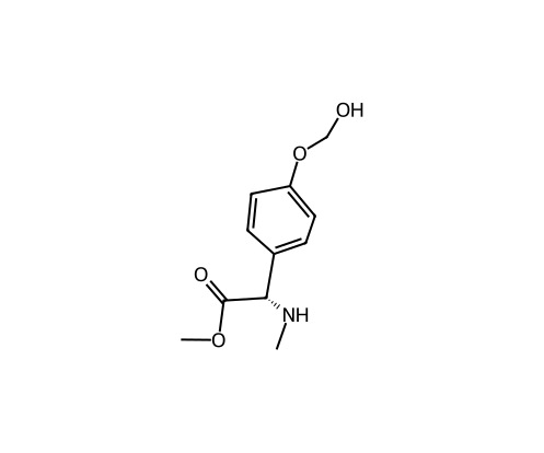 CN[C@H](C(=O)OC)c1ccc(OCO)cc1